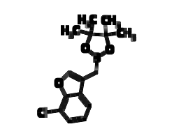 CC1(C)OB(Cc2coc3c(Cl)cccc23)OC1(C)C